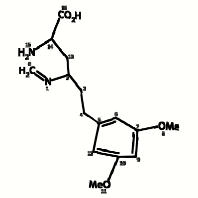 C=NC(CCc1cc(OC)cc(OC)c1)CC(N)C(=O)O